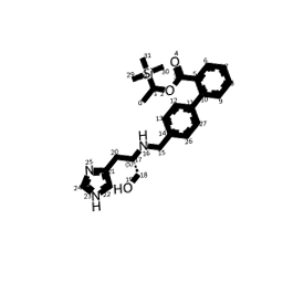 CC(OC(=O)c1ccccc1-c1ccc(CN[C@H](CO)Cc2c[nH]cn2)cc1)[Si](C)(C)C